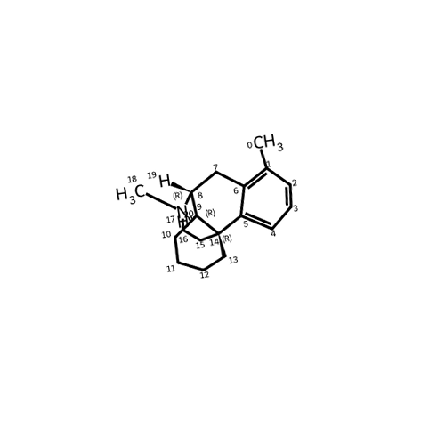 Cc1cccc2c1C[C@@H]1[C@@H]3CCCC[C@]23CCN1C